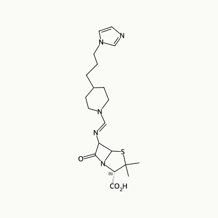 CC1(C)SC2C(N=CN3CCC(CCCn4ccnc4)CC3)C(=O)N2[C@H]1C(=O)O